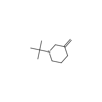 C=C1CCCN(C(C)(C)C)C1